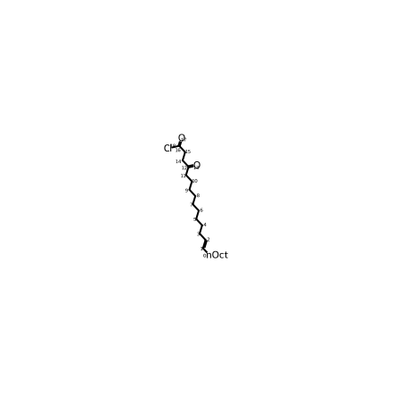 CCCCCCCCC=CCCCCCCCCCC(=O)CCC(=O)Cl